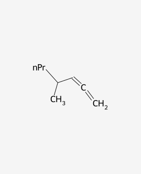 C=C=CC(C)C[CH]C